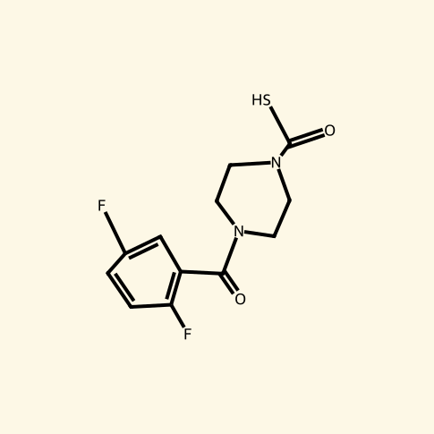 O=C(S)N1CCN(C(=O)c2cc(F)ccc2F)CC1